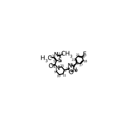 Cc1nc(C)c(C(=O)N2CCCC(c3nc(-c4ccc(F)cc4)no3)C2)s1